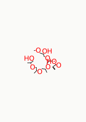 C=CC(=O)O.COCC(O)COC(C)COC(C)COC(C)COC(C)CO